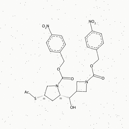 CC(=O)S[C@H]1C[C@@H](C(O)C2CN(C(=O)OCc3ccc([N+](=O)[O-])cc3)C2)N(C(=O)OCc2ccc([N+](=O)[O-])cc2)C1